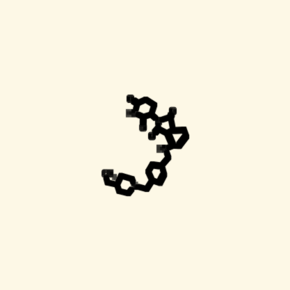 CCC1CCN(CC2C=CC(CNc3cccc4c3C(=O)N(C3CCC(=O)NC3=O)C4=O)=CC2)CC1